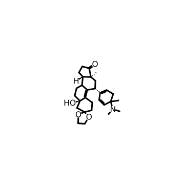 CN(C)C1(C)C=CC([C@H]2C[C@]3(C)C(=O)CC[C@H]3C3CC[C@@]4(O)CC5(CCC4=C32)OCCO5)=CC1